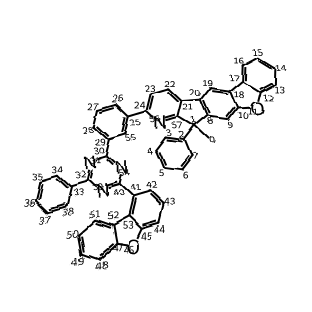 CC1(c2ccccc2)c2cc3oc4ccccc4c3cc2-c2ccc(-c3cccc(-c4nc(-c5ccccc5)nc(-c5cccc6oc7ccccc7c56)n4)c3)nc21